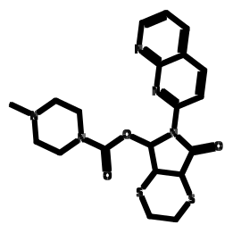 CN1CCN(C(=O)OC2C3SCCSC3C(=O)N2c2ccc3cccnc3n2)CC1